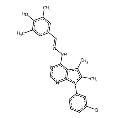 Cc1cc(C=NNc2ncnc3c2c(C)c(C)n3-c2cccc(Cl)c2)cc(C)c1O